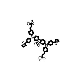 COC(=O)CCc1ccc(N(c2ccc(-c3cccs3)cc2)c2ccc3c(c2)S(=O)(=O)c2cc(N(c4ccc(CCC(=O)OC)cc4)c4ccc(-c5cccs5)cc4)ccc2-3)cc1